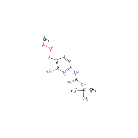 CCOCc1ccc(NC(=O)OC(C)(C)C)nc1N